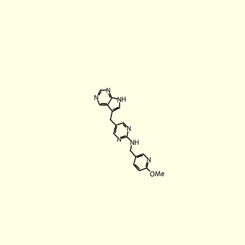 COc1ccc(CNc2ncc(Cc3c[nH]c4ncncc34)cn2)cn1